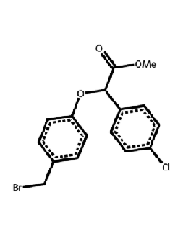 COC(=O)C(Oc1ccc(CBr)cc1)c1ccc(Cl)cc1